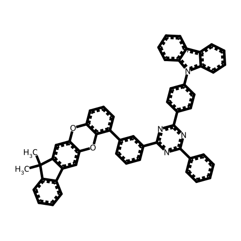 CC1(C)c2ccccc2-c2cc3c(cc21)Oc1cccc(-c2cccc(-c4nc(-c5ccccc5)nc(-c5ccc(-n6c7ccccc7c7ccccc76)cc5)n4)c2)c1O3